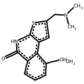 CN(C)Cc1cc2c([nH]c(=O)c3cccc(O)c32)s1.O